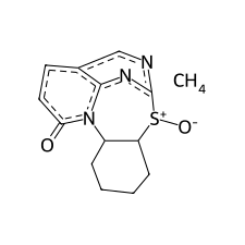 C.O=c1ccc2cnc3nc2n1C1CCCCC1[S+]3[O-]